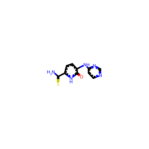 NC(=S)c1ccc(Nc2ccncn2)c(=O)[nH]1